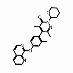 Cc1cc(Oc2nccc3cccnc23)ccc1-c1c(C)nn(C2CCCCO2)c(=O)c1C